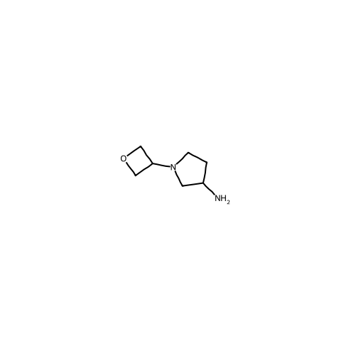 NC1CCN(C2COC2)C1